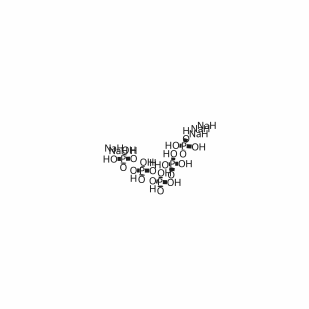 O=P(O)(O)O.O=P(O)(O)O.O=P(O)(O)O.O=P(O)(O)O.O=P(O)(O)O.[NaH].[NaH].[NaH].[NaH].[NaH]